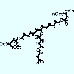 CCCCCCCCC(CCCCCCCC)CC(=O)OCCCCCCC(CCCCCCOC(=O)CC(CCCCCCCC)CCCCCCCC)OC(=O)NCCOCCN(C)C